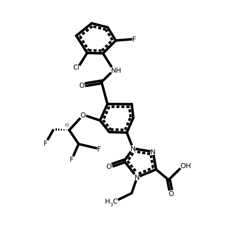 CCn1c(C(=O)O)nn(-c2ccc(C(=O)Nc3c(F)cccc3Cl)c(O[C@@H](CF)C(F)F)c2)c1=O